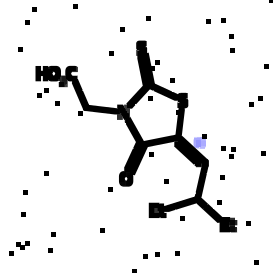 CCC(/C=C1/SC(=S)N(CC(=O)O)C1=O)CC